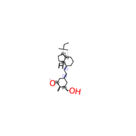 C=C1[C@H](CO)C/C(=C/C=C2\CCC[C@]3(C)[C@@H](C(C)(C)CC)CC[C@@H]23)C[C@H]1OC